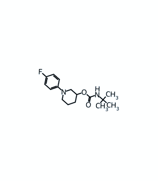 CC(C)(C)NC(=O)OC1CCCN(c2ccc(F)cc2)C1